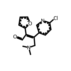 CN(C)CC(=C(C=O)c1ccco1)c1ccc(Cl)nc1